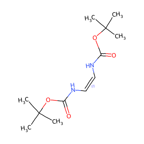 CC(C)(C)OC(=O)N/C=C\NC(=O)OC(C)(C)C